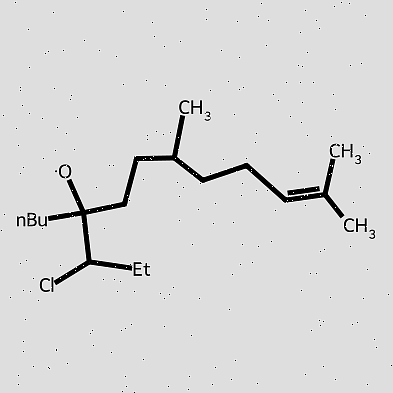 CCCCC([O])(CCC(C)CCC=C(C)C)C(Cl)CC